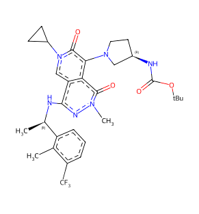 Cc1c([C@@H](C)Nc2nn(C)c(=O)c3c(N4CC[C@@H](NC(=O)OC(C)(C)C)C4)c(=O)n(C4CC4)cc23)cccc1C(F)(F)F